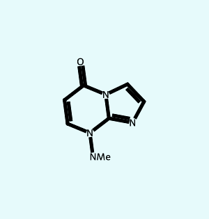 CNn1ccc(=O)n2ccnc12